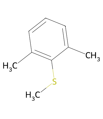 CSc1c(C)cccc1C